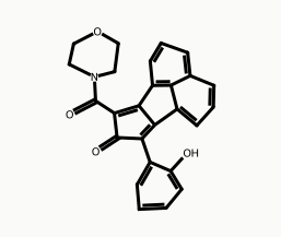 O=C1C(C(=O)N2CCOCC2)=C2C(=C1c1ccccc1O)c1cccc3cccc2c13